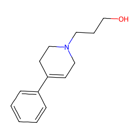 OCCCN1CC=C(c2ccccc2)CC1